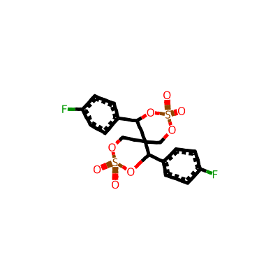 O=S1(=O)OCC2(COS(=O)(=O)OC2c2ccc(F)cc2)C(c2ccc(F)cc2)O1